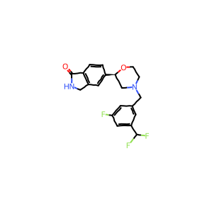 O=C1NCc2cc([C@@H]3CN(Cc4cc(F)cc(C(F)F)c4)CCO3)ccc21